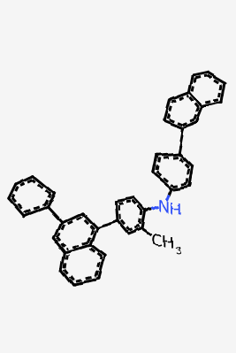 Cc1cc(-c2cc(-c3ccccc3)cc3ccccc23)ccc1Nc1ccc(-c2ccc3ccccc3c2)cc1